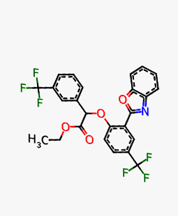 CCOC(=O)C(Oc1ccc(C(F)(F)F)cc1-c1nc2ccccc2o1)c1cccc(C(F)(F)F)c1